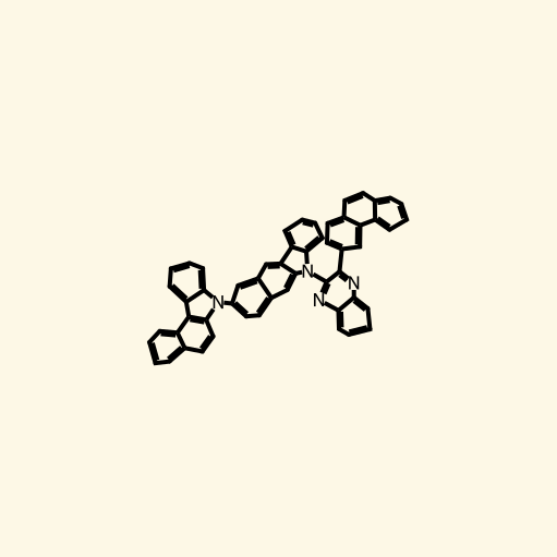 c1ccc2c(c1)ccc1ccc(-c3nc4ccccc4nc3-n3c4ccccc4c4cc5cc(-n6c7ccccc7c7c8ccccc8ccc76)ccc5cc43)cc12